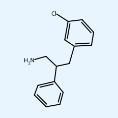 NCC(Cc1cccc(Cl)c1)c1ccccc1